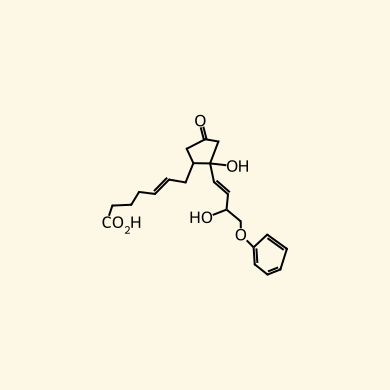 O=C(O)CCCC=CCC1CC(=O)CC1(O)C=CC(O)COc1ccccc1